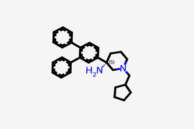 N[C@]1(c2ccc(-c3ccccc3)c(-c3ccccc3)c2)CCCN(CC2CCCC2)C1